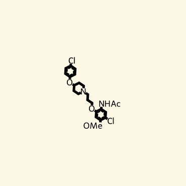 COc1cc(OCCCN2CCC(Oc3ccc(Cl)cc3)CC2)c(NC(C)=O)cc1Cl